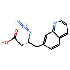 [N-]=[N+]=N[C@@H](CC(=O)O)Cc1ccc2cccnc2c1